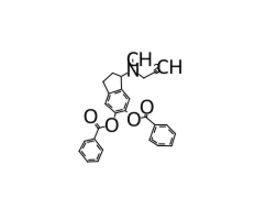 C#CCN(C)C1CCc2cc(OC(=O)c3ccccc3)c(OC(=O)c3ccccc3)cc21